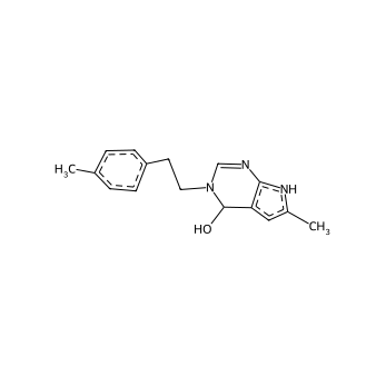 Cc1ccc(CCN2C=Nc3[nH]c(C)cc3C2O)cc1